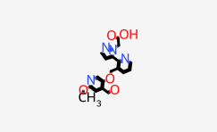 COc1cc(C=O)c(OCc2cccnc2-c2ccnn2CC(=O)O)cn1